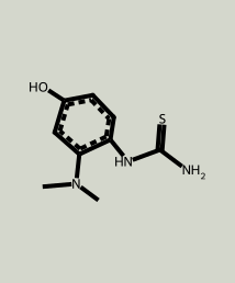 CN(C)c1cc(O)ccc1NC(N)=S